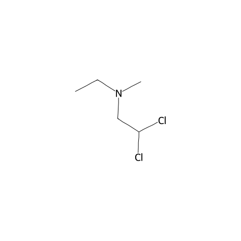 CCN(C)CC(Cl)Cl